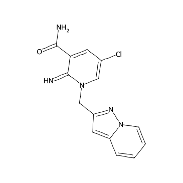 N=c1c(C(N)=O)cc(Cl)cn1Cc1cc2ccccn2n1